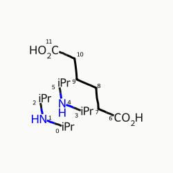 CC(C)NC(C)C.CC(C)NC(C)C.O=C(O)CCCCC(=O)O